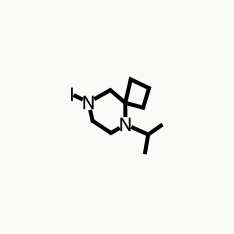 CC(C)N1CCN(I)CC12CCC2